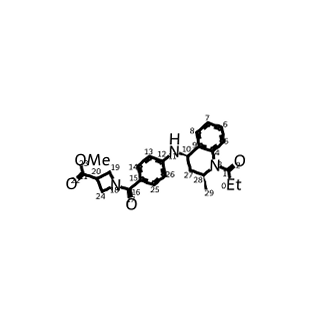 CCC(=O)N1c2ccccc2[C@H](Nc2ccc(C(=O)N3CC(C(=O)OC)C3)cc2)C[C@@H]1C